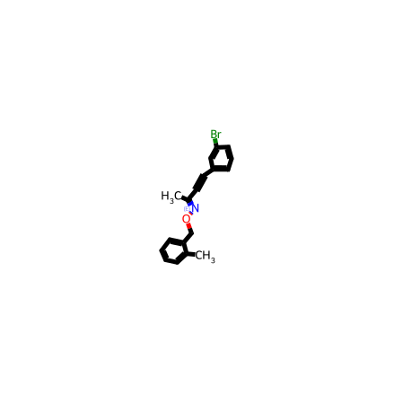 C/C(C#Cc1cccc(Br)c1)=N\OCc1ccccc1C